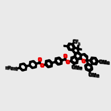 CCCCCC1CCC(C2CCC(C(=O)Oc3ccc(-c4ccc(C(=O)Oc5cc6c7c(c8c(c6cc5OC)OC(c5ccc(OC)cc5)(c5ccc(OC)cc5)C=C8)C(C)(C)c5c-7cc(C)cc5C(F)(F)F)cc4)cc3)CC2)CC1